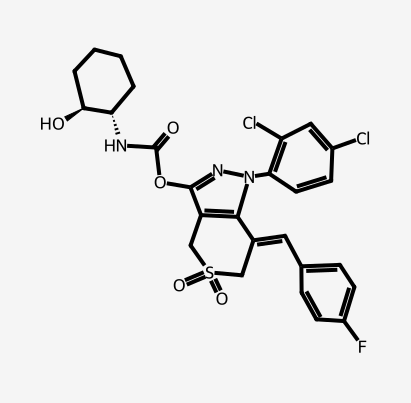 O=C(N[C@H]1CCCC[C@@H]1O)Oc1nn(-c2ccc(Cl)cc2Cl)c2c1CS(=O)(=O)C/C2=C\c1ccc(F)cc1